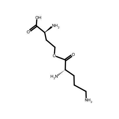 NCCC[C@H](N)C(=O)OCC[C@H](N)C(=O)O